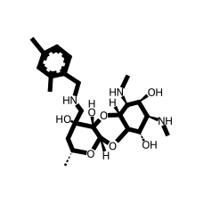 CN[C@@H]1[C@H](O)[C@H](NC)[C@H]2O[C@]3(O)[C@H](OC2[C@H]1O)O[C@H](C)C[C@@]3(O)CNCc1ccc(C)cc1C